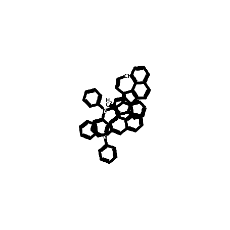 C=C1C2=C(/C=C\C)c3c(ccc4ccccc34)C23c2c(ccc4cc(N(c5ccccc5)c5ccccc5)ccc24)-c2ccc4cc(N(c5ccccc5)c5ccccc5)cc1c4c23